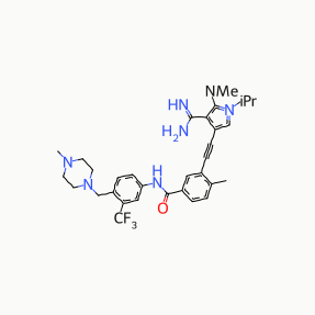 CNc1c(C(=N)N)c(C#Cc2cc(C(=O)Nc3ccc(CN4CCN(C)CC4)c(C(F)(F)F)c3)ccc2C)cn1C(C)C